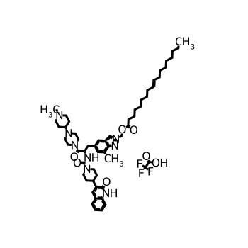 CCCCCCCCC=CCCCCCCCC(=O)OCn1cc2cc(CC(NC(=O)N3CCC(c4cc5ccccc5[nH]c4=O)CC3)C(=O)N3CCN(C4CCN(C)CC4)CC3)cc(C)c2n1.O=C(O)C(F)(F)F